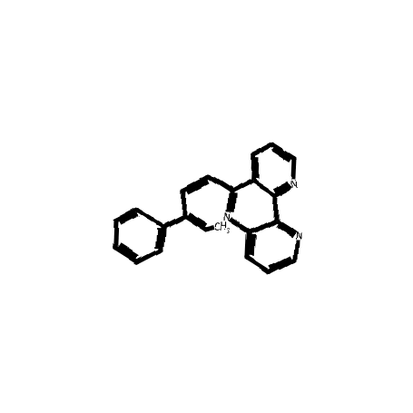 C/C=C(\C=C/c1nc2cccnc2c2ncccc12)c1ccccc1